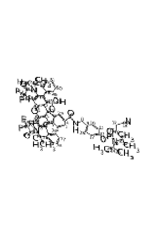 Cc1ccc(C(=O)NCc2ccc(OP(OCCC#N)N(C(C)C)C(C)C)cc2)cc1C1(OCO)c2cc3c(cc2Oc2cc4c(cc21)-c1ccccc1C(C)(C)N4C(=O)C(F)(F)F)N(C(=O)C(F)(F)F)C(C)(C)c1ccccc1-3